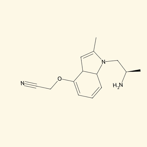 CC1=CC2C(OCC#N)=CC=CC2N1C[C@@H](C)N